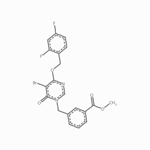 COC(=O)c1cccc(Cn2cnc(OCc3ccc(F)cc3F)c(Br)c2=O)c1